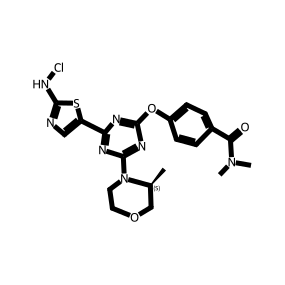 C[C@H]1COCCN1c1nc(Oc2ccc(C(=O)N(C)C)cc2)nc(-c2cnc(NCl)s2)n1